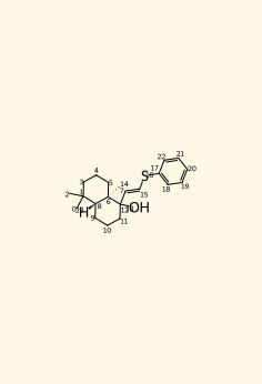 CC1(C)CCC[C@]2(C)[C@@H]1CCCC2(O)/C=C/Sc1ccccc1